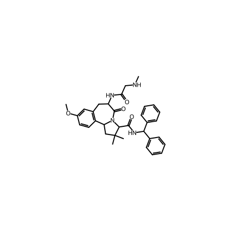 CNCC(=O)NC1Cc2cc(OC)ccc2C2CC(C)(C)C(C(=O)NC(c3ccccc3)c3ccccc3)N2C1=O